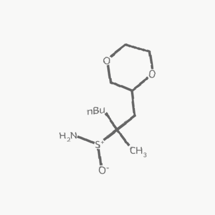 CCCCC(C)(CC1COCCO1)[S+](N)[O-]